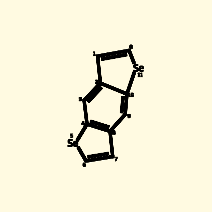 c1cc2cc3[se]ccc3cc2[se]1